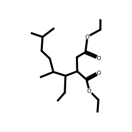 CCOC(=O)CC(C(=O)OCC)C(CC)C(C)CCC(C)C